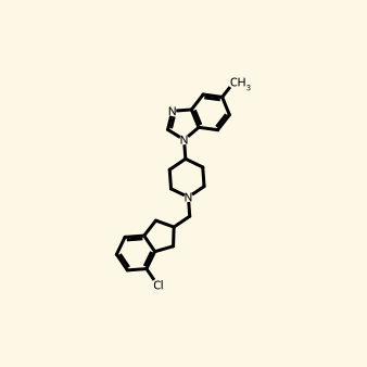 Cc1ccc2c(c1)ncn2C1CCN(CC2Cc3cccc(Cl)c3C2)CC1